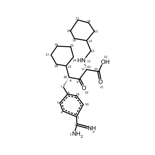 N=C(N)c1ccc(C[C@@H](C(=O)[C@H](NCC2CCCCC2)C(=O)O)C2CCCCC2)cc1